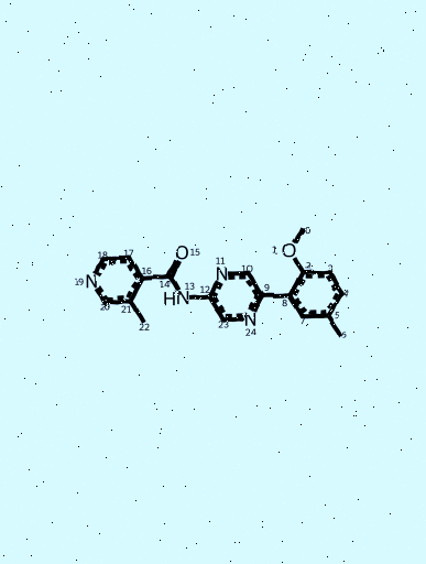 COc1ccc(C)cc1-c1cnc(NC(=O)c2ccncc2C)cn1